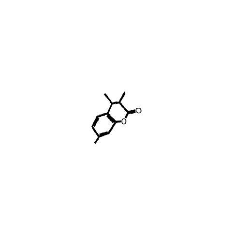 Cc1ccc2c(c1)OC(=O)C(C)C2C